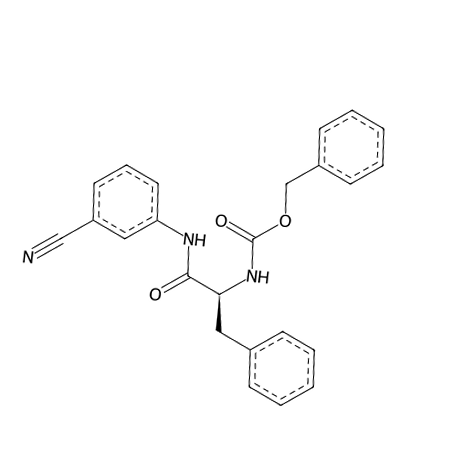 N#Cc1cccc(NC(=O)[C@H](Cc2ccccc2)NC(=O)OCc2ccccc2)c1